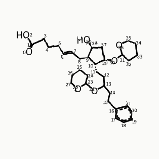 O=C(O)CCC/C=C/C[C@@H]1[C@@H](CCC(CCc2ccccc2)OC2CCCCO2)[C@H](OC2CCCCO2)C[C@@H]1O